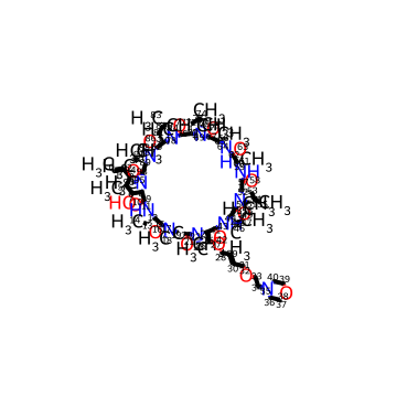 C/C=C/C[C@@H](C)[C@@H](O)[C@H]1C(=O)N[C@@H](CC)C(=O)N(C)CC(=O)N(C)[C@@H]([C@@H](C)OC/C=C/COCCN2CCOCC2)C(=O)N[C@@H](C(C)C)C(=O)N(C)[C@@H](CC(C)C)C(=O)N[C@@H](C)C(=O)N[C@H](C)C(=O)N(C)[C@@H](CC(C)C)C(=O)N(C)[C@H](CC(C)C)C(=O)N(C)[C@@H](C(C)C)C(=O)N1C